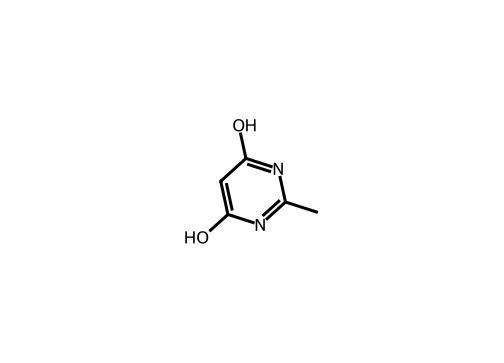 Cc1nc(O)cc(O)n1